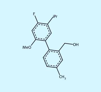 COc1cc(F)c(C(C)C)cc1-c1ccc(C)cc1CO